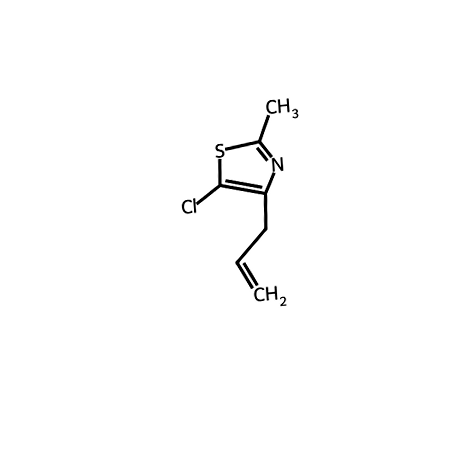 C=CCc1nc(C)sc1Cl